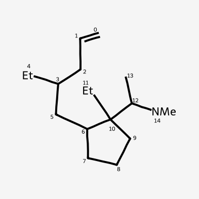 C=CCC(CC)CC1CCCC1(CC)C(C)NC